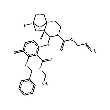 C=CCOC(=O)N1CC[C@]23CC[C@H](C[C@H]2C1Nn1ccc(=O)c(OCc2ccccc2)c1C(=O)OCC)O3